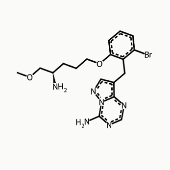 COC[C@H](N)CCCOc1cccc(Br)c1Cc1cnn2c(N)ncnc12